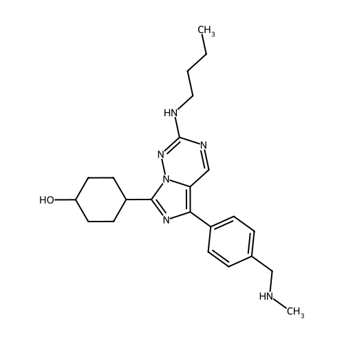 CCCCNc1ncc2c(-c3ccc(CNC)cc3)nc(C3CCC(O)CC3)n2n1